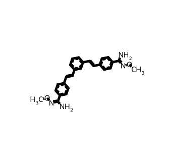 CO/N=C(\N)c1ccc(/C=C/c2cccc(/C=C/c3ccc(/C(N)=N\OC)cc3)c2)cc1